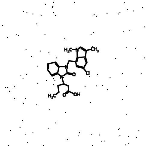 CCCC(CC(=O)O)n1c(=O)n(Cc2cc(Cl)cc3c(C)cn(C)c23)c2ccccc21